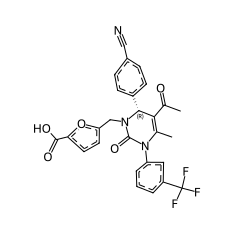 CC(=O)C1=C(C)N(c2cccc(C(F)(F)F)c2)C(=O)N(Cc2ccc(C(=O)O)o2)[C@@H]1c1ccc(C#N)cc1